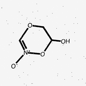 [O-][N+]1=COCC(O)O1